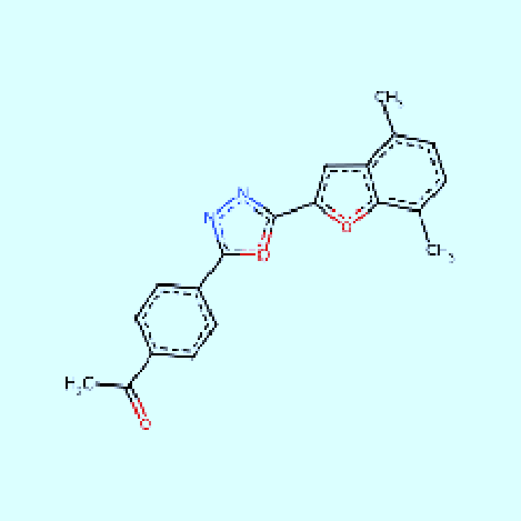 CC(=O)c1ccc(-c2nnc(-c3cc4c(C)ccc(C)c4o3)o2)cc1